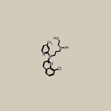 CCCN(CCO)CCCN(c1cc(C(F)(F)F)ccn1)c1ccc2cccc(Cl)c2n1